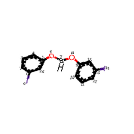 Ic1cccc(OBOc2cccc(I)c2)c1